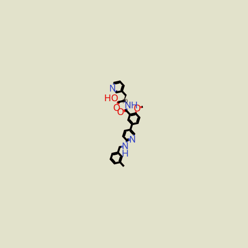 COc1ccc(-c2ccc(NCc3cccc(C)c3)nc2)cc1C(=O)N[C@H](Cc1cccnc1)C(=O)O